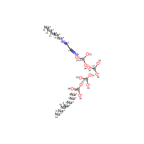 N#CC#N.[Na+].[Na+].[Na+].[Na+].[Na+].[Na+].[Na+].[Na+].[Na+].[Na+].[Na+].[Na+].[O-]B([O-])[O-].[O-]B([O-])[O-].[O-]B([O-])[O-].[O-]B([O-])[O-]